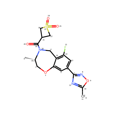 C[C@H]1COc2cc(-c3noc(C(F)(F)F)n3)cc(F)c2CN1C(=O)C1CS(=O)(=O)C1